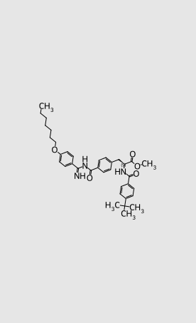 CCCCCCCOc1ccc(C(=N)NC(=O)c2ccc(C[C@H](NC(=O)c3ccc(C(C)(C)C)cc3)C(=O)OC)cc2)cc1